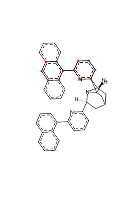 c1cc(-c2cccc3ccccc23)nc([C@@H]2CC3C[C@@H](c4cccc(-c5cccc6ccccc56)n4)N2[C@H](c2cccc(-c4cccc5ccccc45)n2)C3)c1